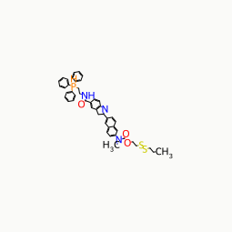 CCCSSCCOC(=O)N(C)c1ccc2cc(C3=Nc4ccc(C(=O)NCC[PH](c5ccccc5)(c5ccccc5)c5ccccc5)cc4C3)ccc2c1